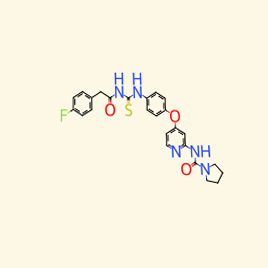 O=C(Cc1ccc(F)cc1)NC(=S)Nc1ccc(Oc2ccnc(NC(=O)N3CCCC3)c2)cc1